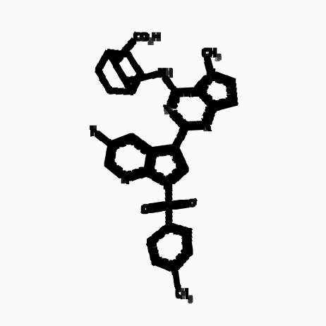 Cc1ccc(S(=O)(=O)n2cc(-c3nc(NC4C5CCC(CC5)C4C(=O)O)c4c(ccn4C)n3)c3cc(F)cnc32)cc1